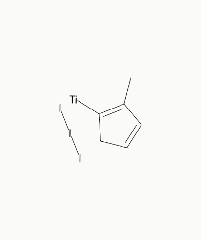 CC1=[C]([Ti])CC=C1.I[I-]I